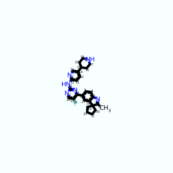 CC1=Nc2ccc(-c3nc(Nc4ccc(C5CCNCC5)cn4)ncc3F)cc2C12CCCC2